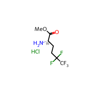 COC(=O)[C@@H](N)CCC(F)(F)C(F)(F)F.Cl